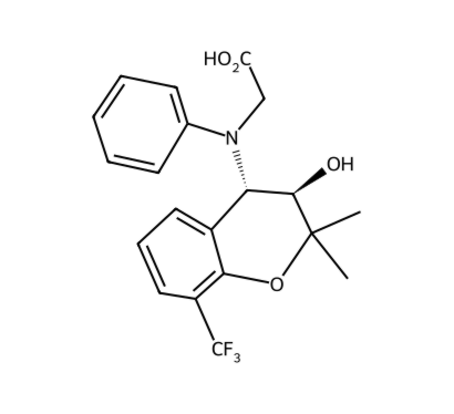 CC1(C)Oc2c(cccc2C(F)(F)F)[C@H](N(CC(=O)O)c2ccccc2)[C@H]1O